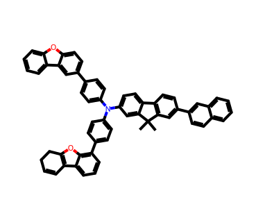 CC1(C)c2cc(-c3ccc4ccccc4c3)ccc2-c2ccc(N(c3ccc(-c4ccc5oc6ccccc6c5c4)cc3)c3ccc(-c4cccc5c6c(oc45)CCC=C6)cc3)cc21